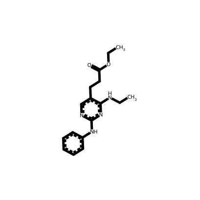 CCNc1nc(Nc2ccccc2)ncc1CCC(=O)OCC